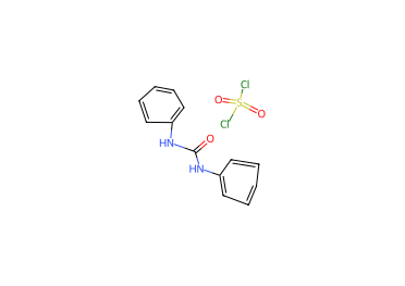 O=C(Nc1ccccc1)Nc1ccccc1.O=S(=O)(Cl)Cl